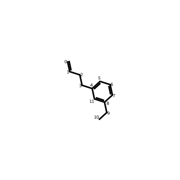 C=CCCc1cccc(CC)c1